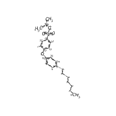 CCCCCCCc1ccc(Oc2ccc(S(=O)(=O)ON(C)C)cc2)cc1